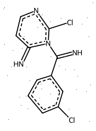 N=C(c1cccc(Cl)c1)n1c(Cl)nccc1=N